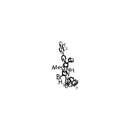 COc1cc(N2CCC(N3CCN(C)CC3)CC2)c(-c2ccoc2)cc1Nc1ncc(Br)c(Nc2ccc3nccnc3c2P(C)(C)=O)n1